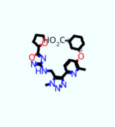 Cc1nc(-c2nnn(C)c2CNc2noc(C3CCCO3)n2)ccc1O[C@H]1CCC[C@H](C(=O)O)C1